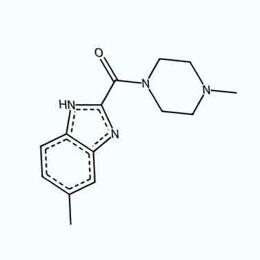 Cc1ccc2[nH]c(C(=O)N3CCN(C)CC3)nc2c1